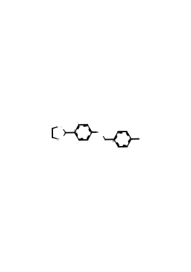 Cc1ccc(COc2ccc(C3OCCS3)cc2)cc1